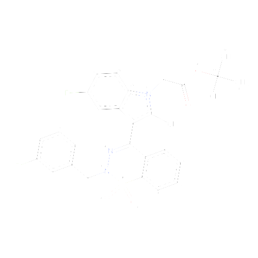 Cc1c(C2=NN(Cc3cccc(F)c3)S(=O)(=O)c3ccccc32)c2cc(F)ccc2n1CC(=O)OC(C)(C)C